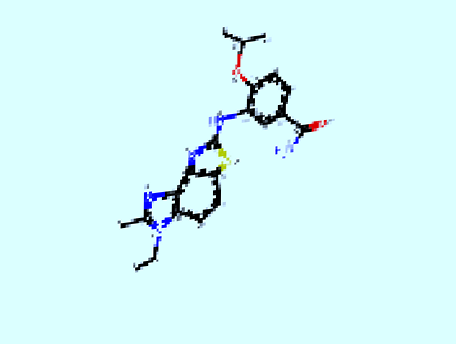 CCn1c(C)nc2c3nc(Nc4cc(C(N)=O)ccc4OC(C)C)sc3ccc21